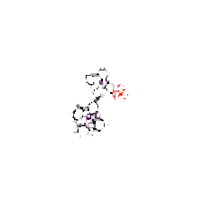 O=S(=O)([O-])[O-].c1ccc([P+](c2ccccc2)(c2ccccc2)c2ccccc2)cc1.c1ccc([P+](c2ccccc2)(c2ccccc2)c2ccccc2)cc1